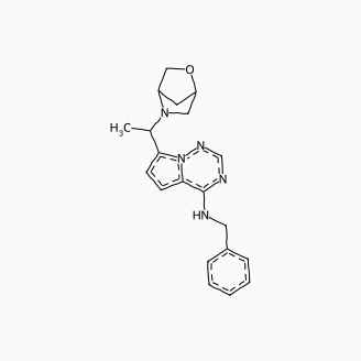 CC(c1ccc2c(NCc3ccccc3)ncnn12)N1CC2CC1CO2